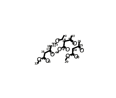 CC[O][Ti].COC(=O)CC(C)=O.COC(=O)CC(C)=O.COC(=O)CC(C)=O